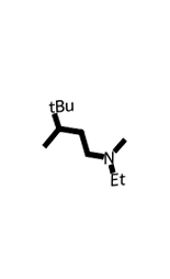 CCN(C)CCC(C)C(C)(C)C